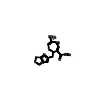 COC(=O)C1=CNC(C(=O)O)=CSC1Cc1cn2c(n1)CSC2